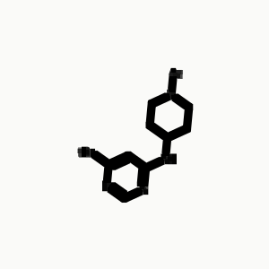 CC(=O)N1CCC(Nc2cc(C(C)(C)C)ncn2)CC1